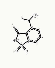 CC(c1cccc2c1C(=O)NS2(=O)=O)C(F)(F)F